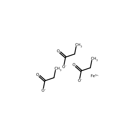 CCC(=O)[O-].CCC(=O)[O-].CCC(=O)[O-].[Fe+3]